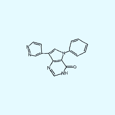 O=c1[nH]cnc2c(-c3ccnnc3)cn(-c3ccccc3)c12